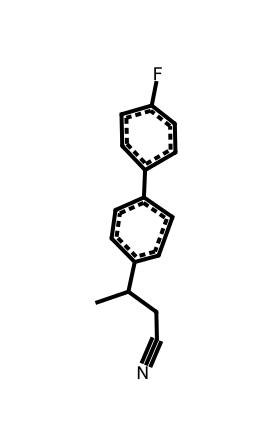 CC(CC#N)c1ccc(-c2ccc(F)cc2)cc1